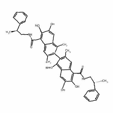 COc1c(-c2c(C)cc3c(C(=O)NC[C@@H](C)c4ccccc4)c(O)c(O)cc3c2C)c(C)cc2c(C(=O)NC[C@H](C)c3ccccc3)c(O)c(O)cc12